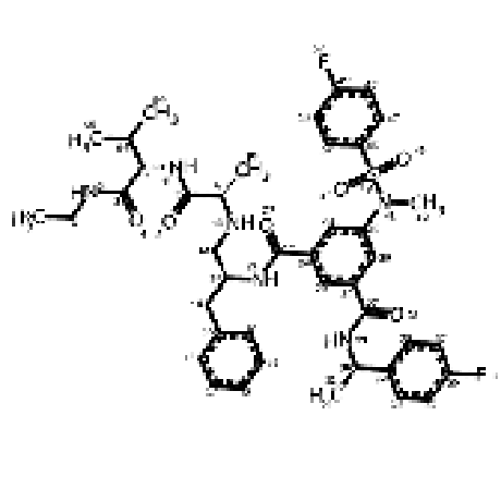 CCNC(=O)[C@@H](NC(=O)[C@H](C)NC[C@H](Cc1ccccc1)NC(=O)c1cc(C(=O)N[C@H](C)c2ccc(F)cc2)cc(N(C)S(=O)(=O)c2ccc(F)cc2)c1)C(C)C